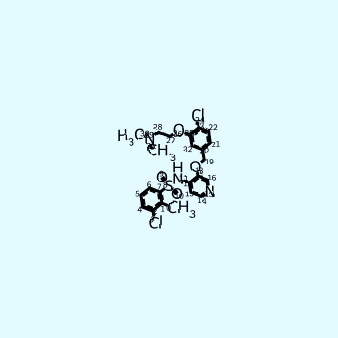 Cc1c(Cl)cccc1S(=O)(=O)Nc1ccncc1OCc1ccc(Cl)c(OCCN(C)C)c1